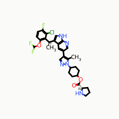 Cc1c(-c2cnc3[nH]cc([C@H](C)c4c(OC(F)F)ccc(F)c4Cl)c3c2)cnn1C1CCC(OC(=O)[C@@H]2CCCN2)CC1